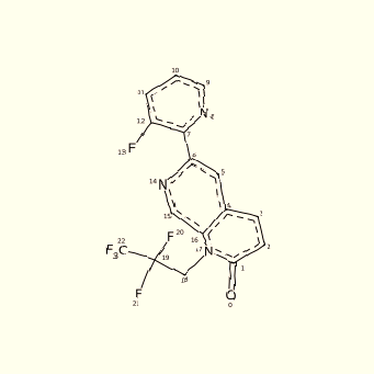 O=c1ccc2cc(-c3ncccc3F)ncc2n1CC(F)(F)C(F)(F)F